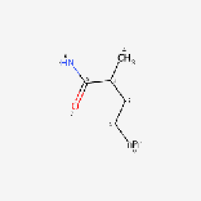 CCCCCC(C)C([NH])=O